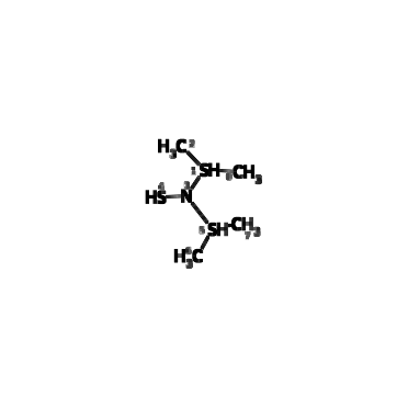 C[SH](C)N(S)[SH](C)C